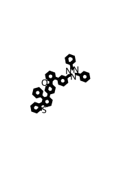 C1=CC(c2nc(-c3ccccc3)nc(-c3cccc(-c4cccc5oc6cc(-c7ccc8sc9ccccc9c8c7-c7ccccc7)ccc6c45)c3)n2)=CCC1